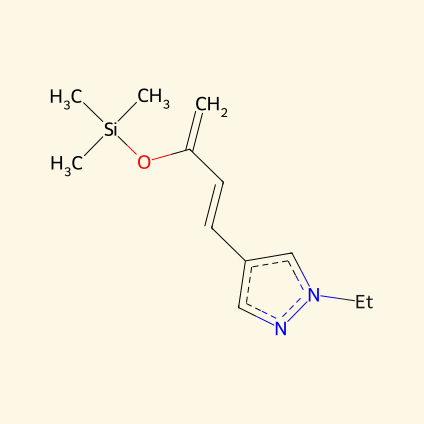 C=C(C=Cc1cnn(CC)c1)O[Si](C)(C)C